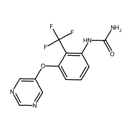 NC(=O)Nc1cccc(Oc2cncnc2)c1C(F)(F)F